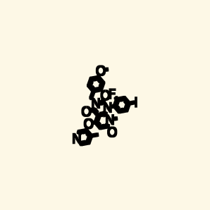 COc1ccc(Cn2c(=O)c3c(Oc4cnccc4C)cc(=O)n(C)c3n(-c3ccc(I)cc3F)c2=O)cc1